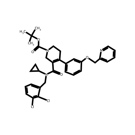 CC(C)(C)OC(=O)N1CCC(c2cccc(OCc3ccccn3)c2)=C(C(=O)N(Cc2cccc(Cl)c2Cl)C2CC2)C1